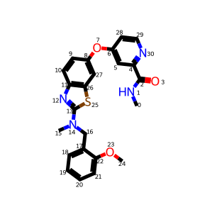 CNC(=O)c1cc(Oc2ccc3nc(N(C)Cc4ccccc4OC)sc3c2)ccn1